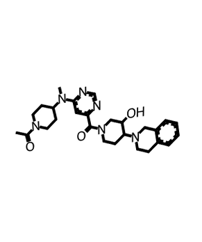 CC(=O)N1CCC(N(C)c2cc(C(=O)N3CCC(N4CCc5ccccc5C4)C(O)C3)ncn2)CC1